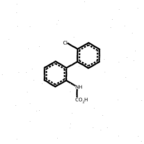 O=C(O)Nc1ccccc1-c1ccccc1Cl